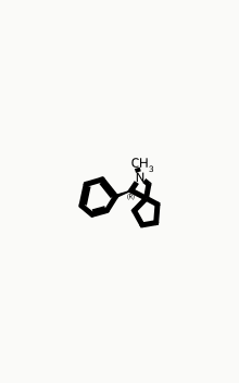 CN1CC2(CCCC2)[C@H]1c1ccccc1